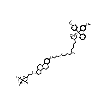 COc1ccc(C(OCC(CO)CCCCN(C)CCCSSCCOc2ccc3c(c2)CCC2C3CC[C@@]3(C)C2CC[C@@H]3OCCCOC(C(F)(F)F)(C(F)(F)F)C(F)(F)F)(c2ccccc2)c2ccc(OC)cc2)cc1